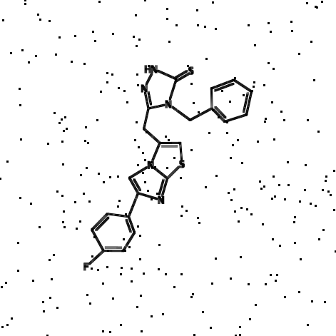 Fc1ccc(-c2cn3c(Cc4n[nH]c(=S)n4Cc4ccccc4)csc3n2)cc1